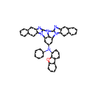 c1ccc(N(c2cc3c4c(c2)n2c5cc6ccccc6cc5nc2n4c2nc4cc5ccccc5cc4n32)c2cccc3c2oc2ccccc23)cc1